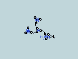 C=C(/N=C(\N=C(/N)c1ccc(CCCc2ccc(-n3c4ccc(CCCc5ccc(-c6nc(-c7ccccc7)nc(-c7ccccc7)n6)cc5)cc4c4cc(CCCc5ccc(-c6nc(-c7ccccc7)nc(-c7ccccc7)n6)cc5)ccc43)cc2)cc1)c1ccccc1)c1ccccc1